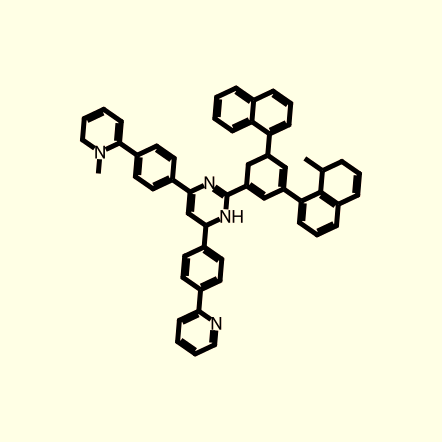 CC1CC=Cc2cccc(C3=CC(c4cccc5ccccc45)CC(C4=NC(c5ccc(C6=CC=CCN6C)cc5)=CC(c5ccc(-c6ccccn6)cc5)N4)=C3)c21